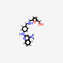 CN(C)c1cc(NC2CCC(CNCc3ccc(CO)o3)CC2)nc2ccccc12